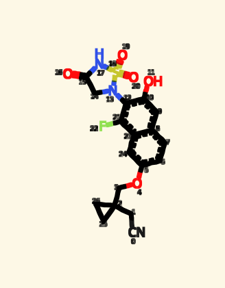 N#CCC1(COc2ccc3cc(O)c(N4CC(=O)NS4(=O)=O)c(F)c3c2)CC1